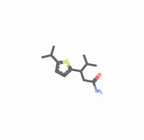 CC(C)c1ccc(C(CC(N)=O)C(C)C)s1